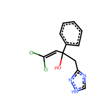 OC(C=C(Cl)Cl)(Cc1nc[nH]n1)c1ccccc1